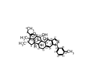 CCC(=O)[C@@]1(C)[C@@H](C)C[C@H]2[C@@H]3CCC4=Cc5c(cnn5-c5cccc(C)c5)C[C@]4(C)[C@@]3(Cl)[C@@H](O)C[C@@]21C